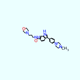 CN1CCN(c2ccc(-c3c[nH]c4cc(C(=O)NCCCN5CCOCC5)ccc34)cc2)CC1